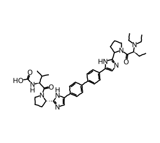 CC[C@@H](C(=O)N1CCCC1c1ncc(-c2ccc(-c3ccc(-c4cnc([C@@H]5CCCN5C(=O)[C@@H](NC(=O)O)C(C)C)[nH]4)cc3)cc2)[nH]1)N(CC)CC